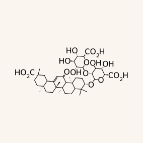 CC1(C)C2CC[C@]3(C)C(C(=O)C=C4C5C[C@@](C)(C(=O)O)CC[C@]5(C)CC[C@]43C)[C@@]2(C)CC[C@@H]1O[C@@H]1O[C@H](C(=O)O)[C@@H](O)[C@H](O)[C@H]1O[C@@H]1O[C@H](C(=O)O)[C@@H](O)[C@H](O)[C@H]1O